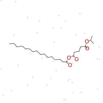 CCCCCCCCCCCCCCCC(=O)OC(=O)CCCC(=O)OC(C)C